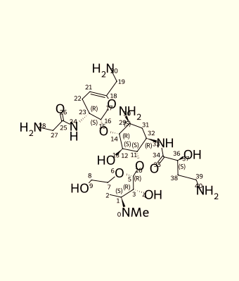 CN[C@@H](C)[C@@H](O)[C@H](OCCO)O[C@@H]1[C@@H](O)[C@H](O[C@H]2OC(CN)=CC[C@H]2NC(=O)CN)[C@@H](N)C[C@H]1NC(=O)[C@@H](O)CCN